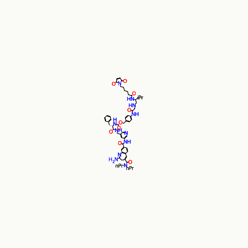 CCCN(CCC)C(=O)C1=Cc2ccc(C(=O)Nc3cncc(CNC(=O)[C@H](Cc4ccccc4)NC(=O)OCc4ccc(NC(=O)CNCC(NC(=O)CCCCCN5C(=O)C=CC5=O)C(C)C)cc4)c3)cc2N=C(N)C1